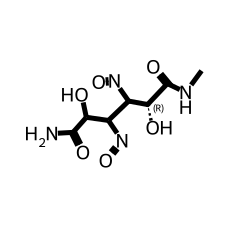 CNC(=O)[C@H](O)C(N=O)C(N=O)C(O)C(N)=O